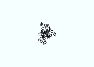 Cc1cc(-c2ncccc2-c2ccc3c(cnn3C(OP(=O)(OC(n3ncc4cc(-c5cccnc5-c5ccc(F)c(C)c5)ccc43)(C(C)(C)C)C(C)(C)C)OC(n3ncc4cc(-c5cccnc5-c5ccc(F)c(C)c5)ccc43)(C(C)(C)C)C(C)(C)C)(C(C)(C)C)C(C)(C)C)c2)ccc1F